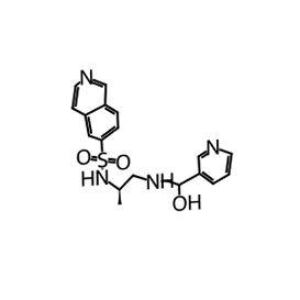 C[C@H](CNCC(O)c1cccnc1)NS(=O)(=O)c1ccc2cnccc2c1